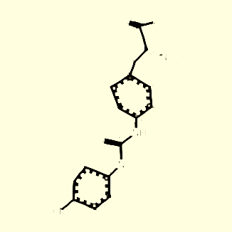 N[C@H](Cc1ccc(NC(=O)Nc2ccc(Cl)cc2)cc1)C(=O)O